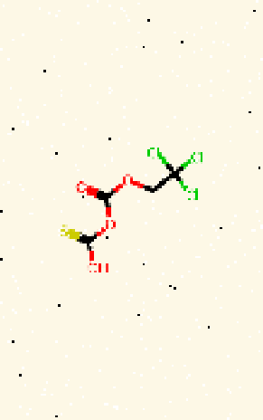 O=C(OCC(Cl)(Cl)Cl)OC(O)=S